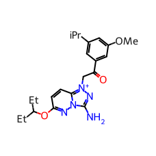 CCC(CC)Oc1ccc2n(n1)c(N)n[n+]2CC(=O)c1cc(OC)cc(C(C)C)c1